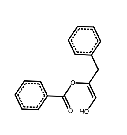 O=C(OC(=CO)Cc1ccccc1)c1ccccc1